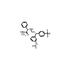 CNC(=O)[C@@H](NCC[C@H](c1ccc(C(F)(F)F)cc1)c1cccc(OC(F)F)c1)c1ccccc1